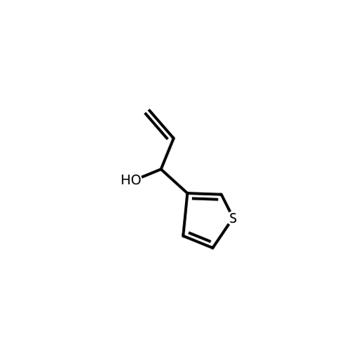 C=CC(O)c1ccsc1